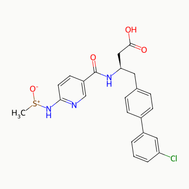 C[S+]([O-])Nc1ccc(C(=O)N[C@@H](CC(=O)O)Cc2ccc(-c3cccc(Cl)c3)cc2)cn1